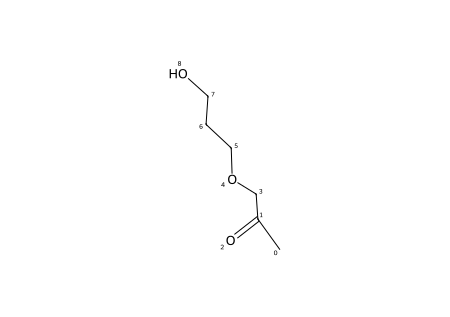 CC(=O)COCCCO